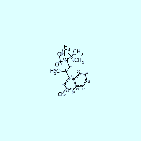 CC(CN(C(=O)O)C(C)(C)C)c1cc(Cl)cc2ccccc12